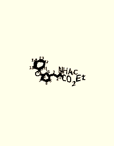 CCOC(=O)C(CCc1cccc(Oc2ccccc2)c1)NC(C)=O